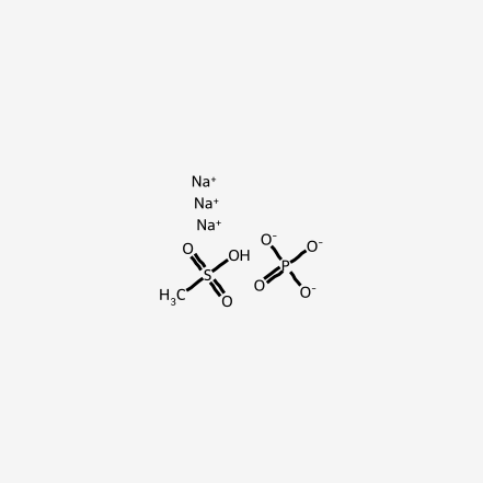 CS(=O)(=O)O.O=P([O-])([O-])[O-].[Na+].[Na+].[Na+]